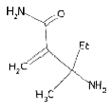 C=C(C(N)=O)C(C)(N)CC